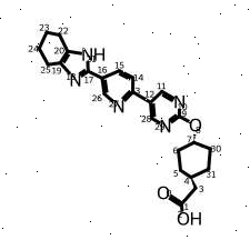 O=C(O)C[C@H]1CC[C@H](Oc2ncc(-c3ccc(-c4nc5c([nH]4)CCCC5)cn3)cn2)CC1